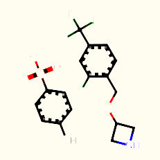 Cc1ccc(S(=O)(=O)O)cc1.Fc1cc(C(F)(F)F)ccc1COC1CNC1